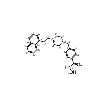 O=C(NO)c1ccc(CN2CCN(CCc3cccc4ccccc34)CC2)cc1